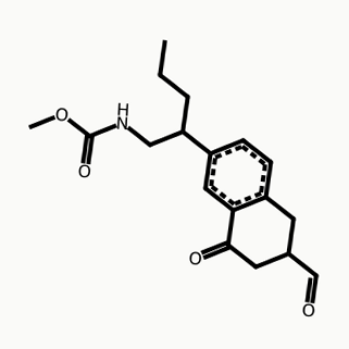 CCCC(CNC(=O)OC)c1ccc2c(c1)C(=O)CC(C=O)C2